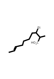 CC=CCCCCC(CC)C(C)C(=O)O